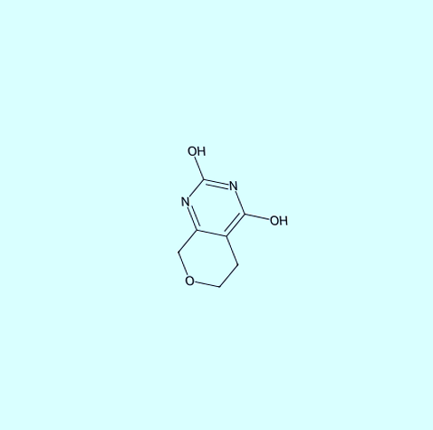 Oc1nc(O)c2c(n1)COCC2